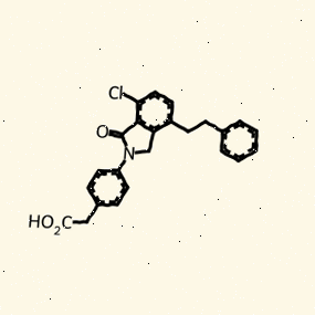 O=C(O)Cc1ccc(N2Cc3c(CCc4ccccc4)ccc(Cl)c3C2=O)cc1